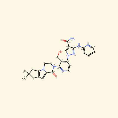 CC1(C)Cc2cc3n(c2C1)CCN(c1nccc(-n2cc(C(N)=O)c(Nc4ccccn4)n2)c1CO)C3=O